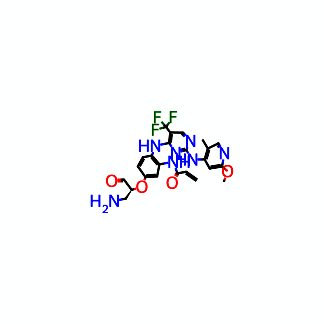 C=CC(=O)Nc1cc(O[C@H](C=O)CN)ccc1Nc1nc(Nc2cc(OC)ncc2C)ncc1C(F)(F)F